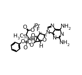 CC(C)OC(=O)[C@H](C)N[P@@](=O)(Oc1ccccc1)OC1[C@H]2O[C@@H](n3cnc4c(N)nc(N)nc43)[C@@H](F)[C@@]12O